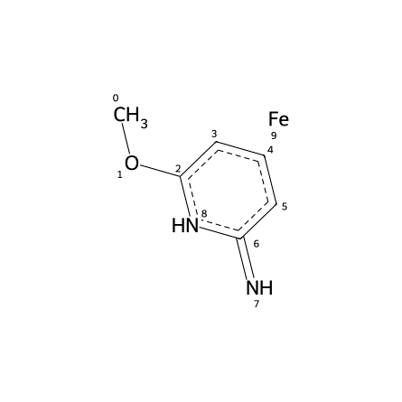 COc1cccc(=N)[nH]1.[Fe]